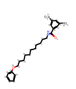 O=C(NCCCCCCCCCCCOc1ccccc1)c1cc([N+](=O)[O-])cc([N+](=O)[O-])c1